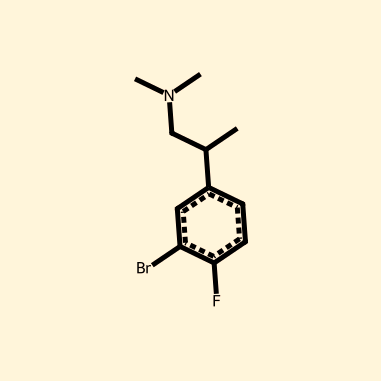 CC(CN(C)C)c1ccc(F)c(Br)c1